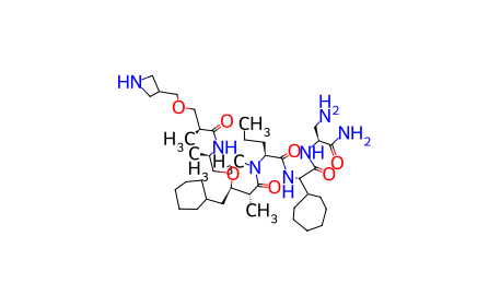 CCC[C@@H](C(=O)N[C@H](C(=O)N[C@@H](CN)C(N)=O)C1CCCCCC1)N(C)C(=O)[C@H](C)[C@@H](CC1CCCCC1)OC[C@@H](C)NC(=O)[C@@H](C)COCC1CNC1